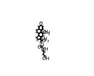 CC12C=CC(=O)C=C1CCC1C2C(O)CC2(C)C(C(=O)COC(=O)NCCCCO)CCC12